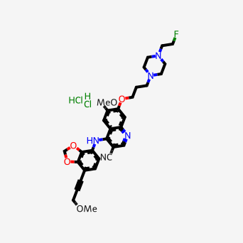 COCC#Cc1ccc(Nc2c(C#N)cnc3cc(OCCCN4CCN(CCF)CC4)c(OC)cc23)c2c1OCO2.Cl.Cl